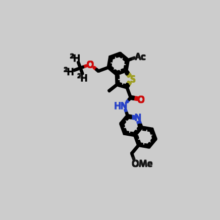 [2H]C([2H])([2H])OCc1ccc(C(C)=O)c2sc(C(=O)Nc3ccc4c(COC)cccc4n3)c(C)c12